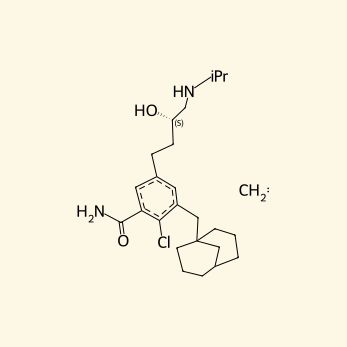 CC(C)NC[C@@H](O)CCc1cc(CC23CCCC(CCC2)C3)c(Cl)c(C(N)=O)c1.[CH2]